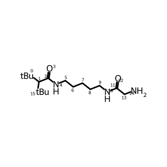 CC(C)(C)C(C(=O)NCCCCCNC(=O)CN)C(C)(C)C